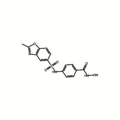 Cc1nc2cc(S(=O)(=O)Nc3ccc(C(=O)NO)cc3)ccc2o1